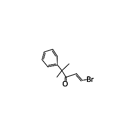 CC(C)(C(=O)C=CBr)c1ccccc1